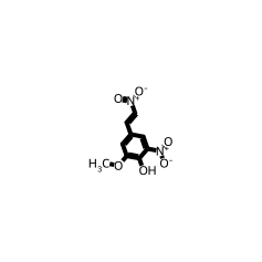 COc1cc(C=C[N+](=O)[O-])cc([N+](=O)[O-])c1O